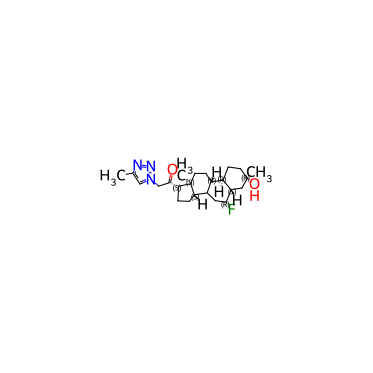 Cc1cn(CC(=O)[C@H]2CC[C@H]3C4C[C@@H](F)[C@H]5C[C@](C)(O)CC[C@@H]5[C@H]4CC[C@]23C)nn1